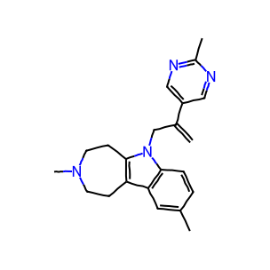 C=C(Cn1c2c(c3cc(C)ccc31)CCN(C)CC2)c1cnc(C)nc1